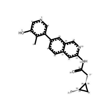 Cc1c(O)cncc1-c1ccc2cc(NC(=O)C[C@@H]3C[C@@H]3F)ncc2c1